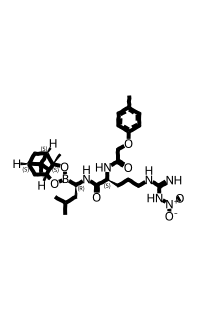 Cc1ccc(OCC(=O)N[C@@H](CCCNC(=N)N[N+](=O)[O-])C(=O)N[C@@H](CC(C)C)B2O[C@@H]3C[C@@H]4C[C@@H](C4(C)C)[C@]3(C)O2)cc1